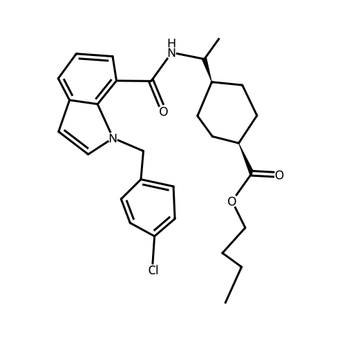 CCCCOC(=O)[C@H]1CC[C@@H](C(C)NC(=O)c2cccc3ccn(Cc4ccc(Cl)cc4)c23)CC1